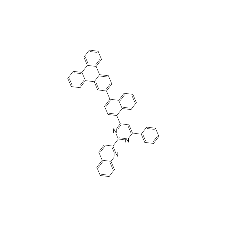 c1ccc(-c2cc(-c3ccc(-c4ccc5c6ccccc6c6ccccc6c5c4)c4ccccc34)nc(-c3ccc4ccccc4n3)n2)cc1